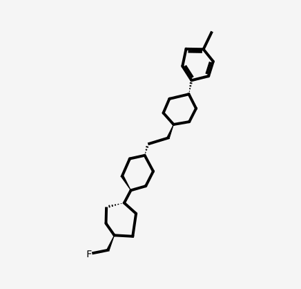 Cc1ccc([C@H]2CC[C@H](CC[C@H]3CC[C@H]([C@H]4CC[C@H](CF)CC4)CC3)CC2)cc1